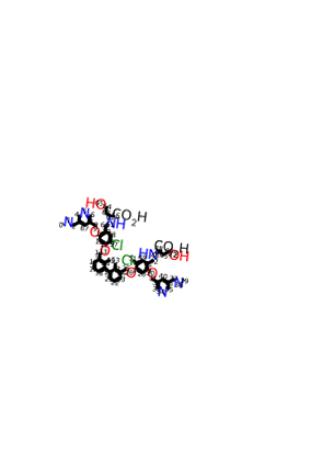 C/N=C/c1cncc(COc2cc(OCc3cccc(-c4cccc(COc5cc(OCc6cncc(/C=N/C)c6)c(CN[C@@H](CCO)C(=O)O)cc5Cl)c4C)c3C)c(Cl)cc2CN[C@@H](CCO)C(=O)O)c1